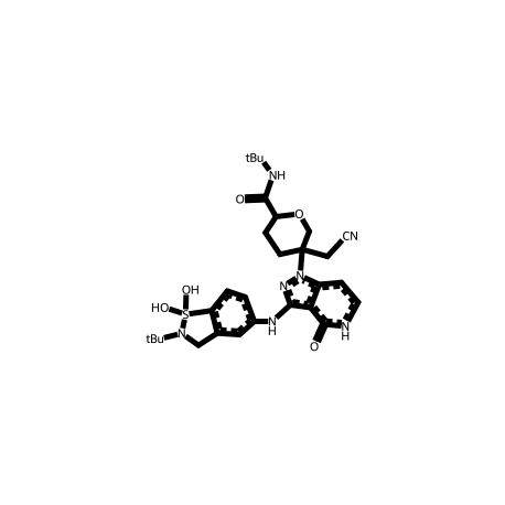 CC(C)(C)NC(=O)C1CCC(CC#N)(n2nc(Nc3ccc4c(c3)CN(C(C)(C)C)S4(O)O)c3c(=O)[nH]ccc32)CO1